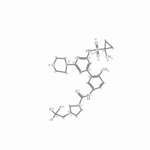 Cc1ccc(NC(=O)N2CC[C@@H](CC(F)(F)F)C2)cc1-c1cc(NS(=O)(=O)C2(C)CC2)nc(N2CCOCC2)c1